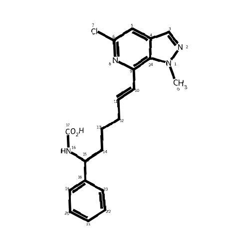 Cn1ncc2cc(Cl)nc(/C=C/CCCC(NC(=O)O)c3ccccc3)c21